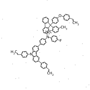 C=Cc1ccc(Oc2ccc(C3(c4cc(C)ccc4C)c4ccccc4-c4ccc(N(c5ccc(F)cc5)c5ccc(-c6ccc7c(c6)c6cc(-c8ccc(C=C)cc8)ccc6n7-c6ccc(C=C)cc6)cc5)cc43)cc2)cc1